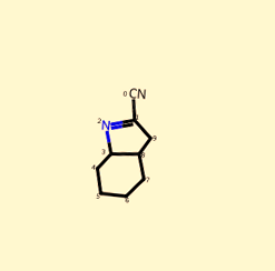 N#CC1=NC2CCCCC2C1